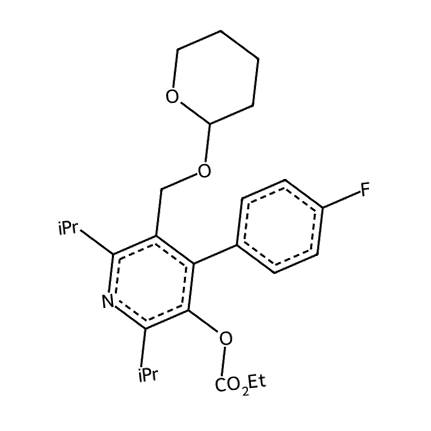 CCOC(=O)Oc1c(C(C)C)nc(C(C)C)c(COC2CCCCO2)c1-c1ccc(F)cc1